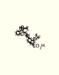 O=C(O)c1cc(OCC(F)F)c2cc(N3CC(/C=C/c4c(-c5ccccc5C(F)(F)F)noc4C4CC4)C3)ccc2n1